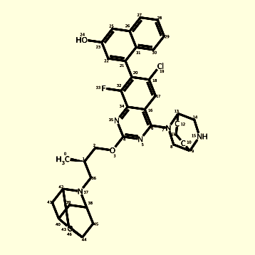 C[C@@H](COc1nc(N2CC3CCCC2CN3)c2cc(Cl)c(-c3cc(O)cc4ccccc34)c(F)c2n1)CN1C2CC3CC1CC(C2)O3